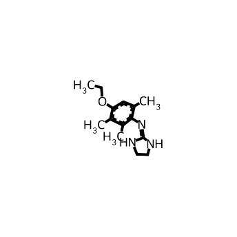 CCOc1cc(C)c(N=C2NCCN2)c(C)c1C